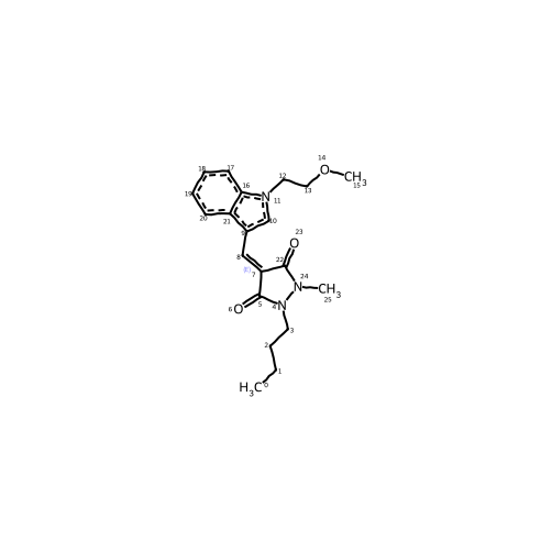 CCCCN1C(=O)/C(=C/c2cn(CCOC)c3ccccc23)C(=O)N1C